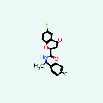 C[C@@H](NC(=O)C1CC(=O)c2cc(F)ccc2O1)c1ccc(Cl)cc1